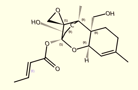 C/C=C/C(=O)O[C@@]12O[C@@H]3C=C(C)CC[C@]3(CO)[C@@](C)(C[C@H]1O)[C@]21CO1